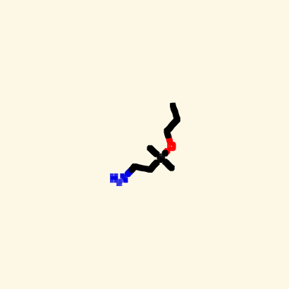 CCCO[Si](C)(C)CCN